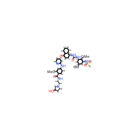 COc1cc(Nc2cc(Oc3ccc(NC(=O)Nc4cc(C(C)(C)C)cc(NS(C)(=O)=O)c4OC)c4ccccc34)ccn2)ccc1C(=O)NCCN1CC[C@@H](O)C1